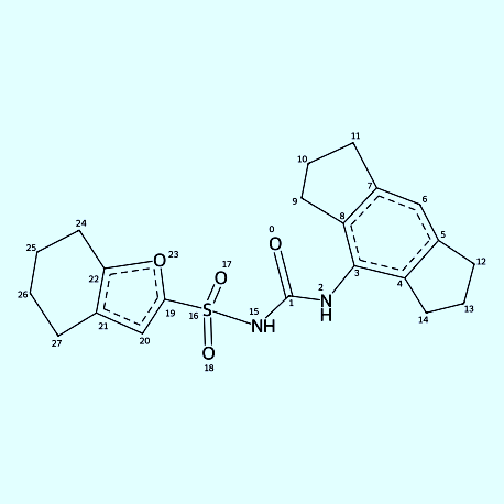 O=C(Nc1c2c(cc3c1CCC3)CCC2)NS(=O)(=O)c1cc2c(o1)CCCC2